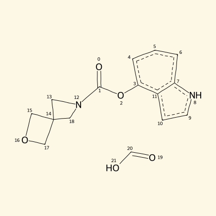 O=C(Oc1cccc2[nH]ccc12)N1CC2(COC2)C1.O=CO